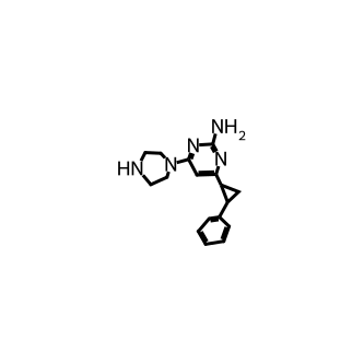 Nc1nc(C2CC2c2ccccc2)cc(N2CCNCC2)n1